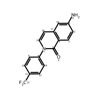 Nc1ccc2c(=O)n(-c3ccc(C(F)(F)F)cc3)ccc2c1